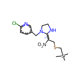 C[Si](C)(C)CSC/C(=C1\NCCN1Cc1ccc(Cl)nc1)[N+](=O)[O-]